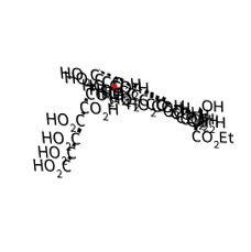 CC(=O)O.CC(=O)O.CC(=O)O.CC(=O)O.CC(=O)O.CC(=O)O.CC(=O)O.CC(=O)O.CC(=O)O.CC(=O)O.CC(=O)O.CC(=O)O.CC(=O)O.CC(=O)O.CC(=O)O.CC(=O)O.CC(=O)O.CC(=O)O.CC(=O)O.CC(=O)O.CC(=O)O.CC(=O)O.CC(=O)O.CCOC(=O)CCCO